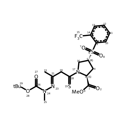 COC(=O)[C@@H]1C[C@@H](S(=O)(=O)c2ccccc2C(F)(F)F)CN1C(=S)CC(C)=NN(C)C(=O)OC(C)(C)C